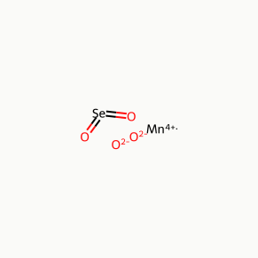 O=[Se]=O.[Mn+4].[O-2].[O-2]